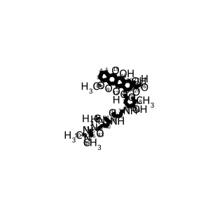 COc1cccc2c1C(=O)c1c(O)c3c(c(O)c1C2=O)CC(O)(C(=O)CO)C[C@H]3OC1C[C@H](NCCC(=O)Nc2cc(C(=O)Nc3cn(C)c(C)n3)n(C)c2)[C@H](O)[C@H](C)O1